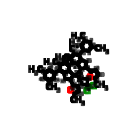 Cc1cc(C)cc(-c2c(C)c(C)cc3c2C=C(c2ccc(C)o2)[CH]3[Zr]([CH]2C(c3ccc(C)o3)=Cc3c2cc(C)c(C)c3-c2cc(C)cc(C)c2)=[Si]2CC(Cl)(Cl)C2)c1